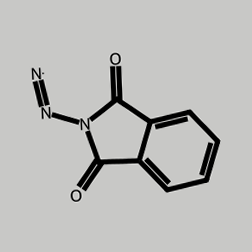 [N]=NN1C(=O)c2ccccc2C1=O